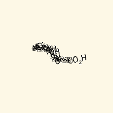 Cc1ccc(Oc2nc3cc(-c4ccc5c(ccn5C)c4)c(Cl)cc3[nH]2)cc1C(=O)NCCCCCCC(=O)O